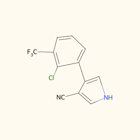 N#Cc1c[nH]cc1-c1cccc(C(F)(F)F)c1Cl